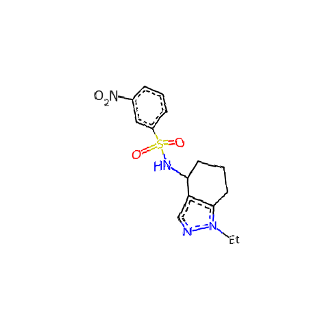 [CH2]Cn1ncc2c1CCCC2NS(=O)(=O)c1cccc([N+](=O)[O-])c1